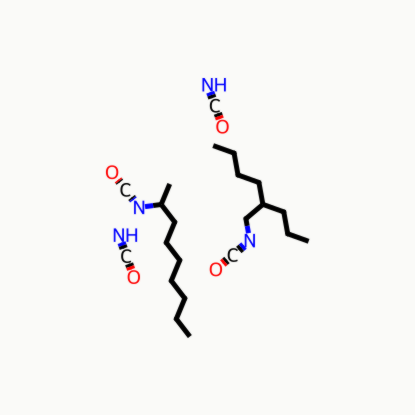 CCCCC(CCC)CN=C=O.CCCCCCCC(C)N=C=O.N=C=O.N=C=O